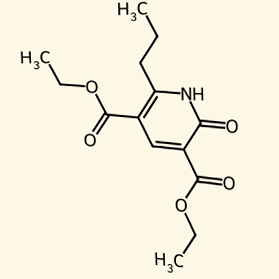 CCCc1[nH]c(=O)c(C(=O)OCC)cc1C(=O)OCC